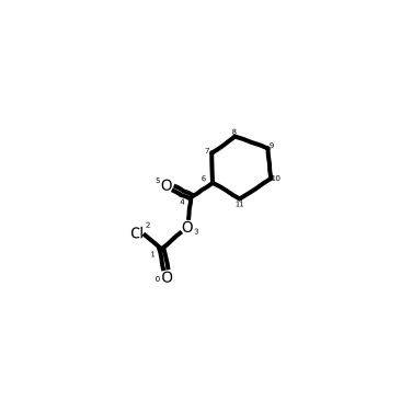 O=C(Cl)OC(=O)C1CCCCC1